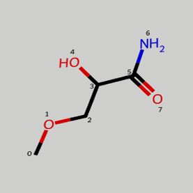 COCC(O)C(N)=O